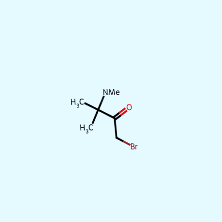 CNC(C)(C)C(=O)CBr